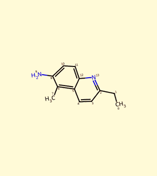 CCc1ccc2c(C)c(N)ccc2n1